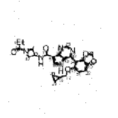 CCC(=O)N1CC(NC(=O)c2c[nH]c3c(-c4c(OCC5CC5)ccc5c4OCO5)ncnc23)C1